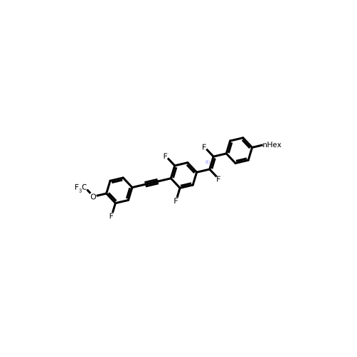 CCCCCCc1ccc(/C(F)=C(\F)c2cc(F)c(C#Cc3ccc(OC(F)(F)F)c(F)c3)c(F)c2)cc1